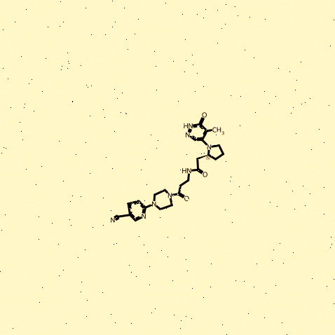 Cc1c(N2CCC[C@H]2CC(=O)NCCC(=O)N2CCN(c3ccc(C#N)cn3)CC2)cn[nH]c1=O